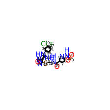 CS(=O)(=O)Nc1ccc(C(=O)NCCSc2nonc2C(=N)Nc2ccc(F)c(Cl)c2)cn1